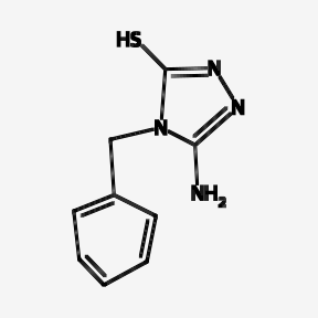 Nc1nnc(S)n1Cc1ccccc1